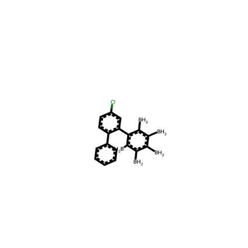 Bc1c(B)c(B)c(-c2cc(Cl)ccc2-c2ccccc2)c(B)c1B